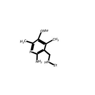 CCNCc1c(N)nc(C)c(OC)c1C